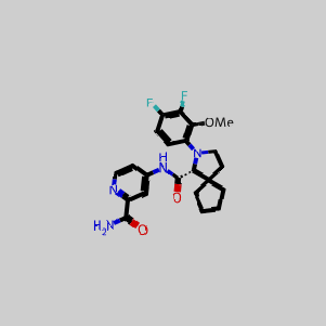 COc1c(N2CCC3(CCCC3)[C@@H]2C(=O)Nc2ccnc(C(N)=O)c2)ccc(F)c1F